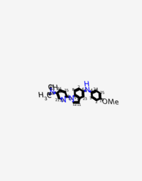 COc1ccc(Nc2ccc3c(ccn3-c3ccc(N(C)C)cn3)c2)cc1